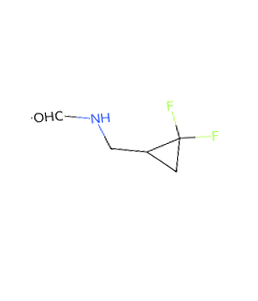 O=[C]NCC1CC1(F)F